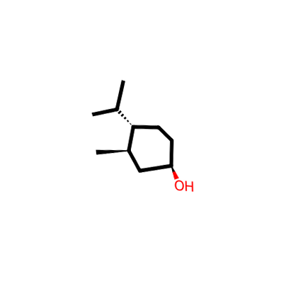 CC(C)[C@@H]1CC[C@@H](O)C[C@H]1C